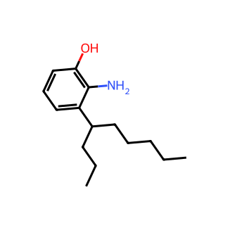 CCCCCC(CCC)c1cccc(O)c1N